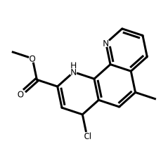 COC(=O)C1=CC(Cl)c2cc(C)c3cccnc3c2N1